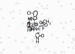 CS(=O)(=O)/C(F)=C/[C@H](C[C@H]1CCNC1=O)NC(=O)[C@@H]1[C@@H]2CC[C@@H](CC2(F)F)N1C(=O)c1cc2cccc(Cl)c2[nH]1